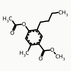 CCCCc1cc(C(=O)OC)c(C)cc1OC(C)=O